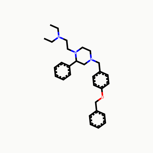 CCN(CC)CCN1CCN(Cc2ccc(OCc3ccccc3)cc2)CC1c1ccccc1